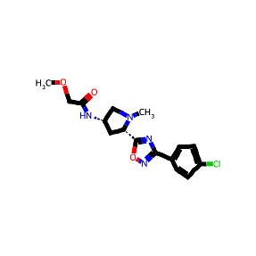 COCC(=O)N[C@H]1C[C@@H](c2nc(-c3ccc(Cl)cc3)no2)N(C)C1